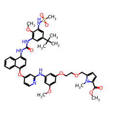 COC(=O)c1ccc(COCCOc2cc(Nc3cc(Oc4ccc(NC(=O)Nc5cc(C(C)(C)C)cc(NS(C)(=O)=O)c5OC)c5ccccc45)ccn3)cc(OC)c2)n1C